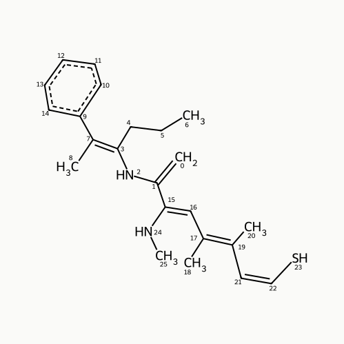 C=C(N/C(CCC)=C(\C)c1ccccc1)/C(=C/C(C)=C(C)/C=C\S)NC